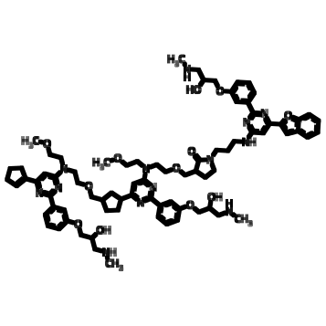 CNCC(O)COc1cccc(-c2nc(NCCCN3CCC(COCCN(CCOC)c4cc(C5CCC(COCCN(CCOC)c6cc(C7=CCCC7)nc(-c7cccc(OCC(O)CNC)c7)n6)C5)nc(-c5cccc(OCC(O)CNC)c5)n4)C3=O)cc(-c3cc4ccccc4o3)n2)c1